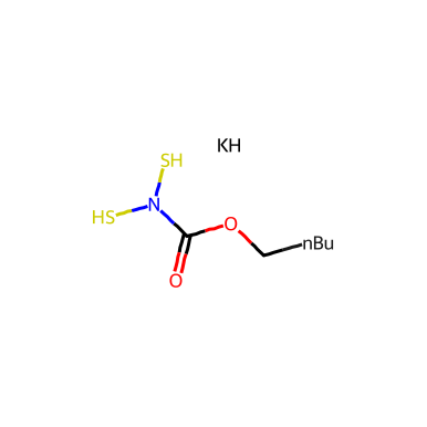 CCCCCOC(=O)N(S)S.[KH]